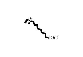 C=C[Si](C)(C)CCCCCCCCCCCCCCCC